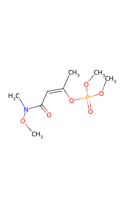 CON(C)C(=O)C=C(C)OP(=O)(OC)OC